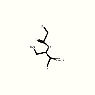 O=C(CBr)OC(CO)C(Br)C(=O)O